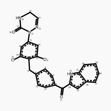 O=C(c1ccc(Cc2c(Cl)cc(N3N=CCNC3=O)cc2Cl)cc1)c1cc2ccccc2[nH]1